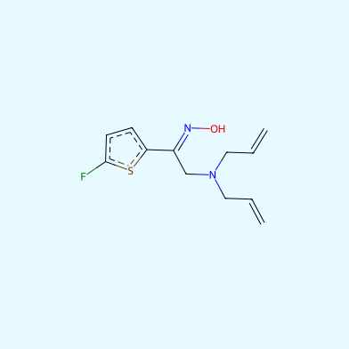 C=CCN(CC=C)CC(=NO)c1ccc(F)s1